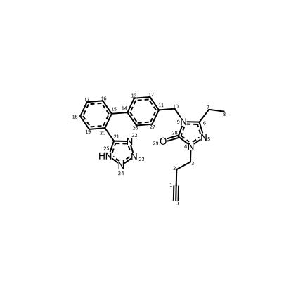 C#CCCn1nc(CC)n(Cc2ccc(-c3ccccc3-c3nnn[nH]3)cc2)c1=O